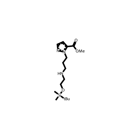 COC(=O)c1ccnn1CCCNCCO[Si](C)(C)C(C)(C)C